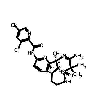 CC1(C)C(N)=N[C@](C)(c2nc(NC(=O)c3ncc(Cl)cc3Cl)ccc2F)[C@@H]2CCCN[SH]21=O